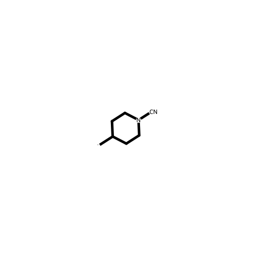 [CH2]C1CCN(C#N)CC1